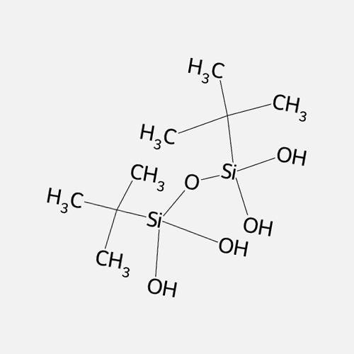 CC(C)(C)[Si](O)(O)O[Si](O)(O)C(C)(C)C